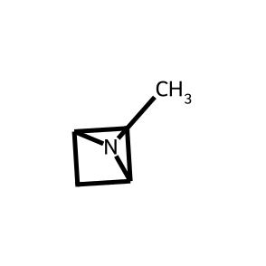 CN1C2CC1C2